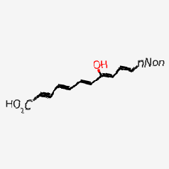 CCCCCCCCC/C=C/C=C(O)/C=C/C=C/C=C/C(=O)O